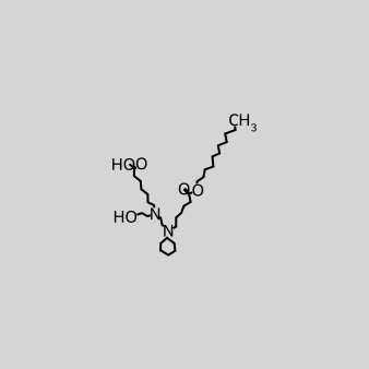 CCCCCCCCCCCOC(=O)CCCCCN(CCN(CCO)CCCCCCC(=O)O)C1CCCCC1